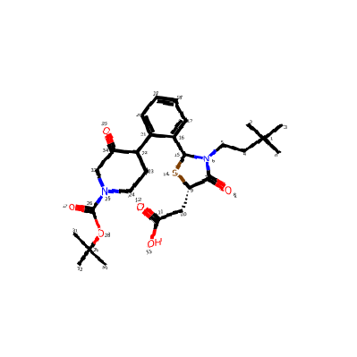 CC(C)(C)CCN1C(=O)[C@H](CC(=O)O)SC1c1ccccc1C1CCN(C(=O)OC(C)(C)C)CC1=O